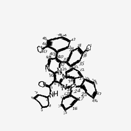 O=C(NC1CCCC1)c1c(N=P(c2ccccc2)(c2ccccc2)c2ccccc2)nn2c(-c3ccc(Cl)cc3)c(-c3ccccc3Cl)cnc12